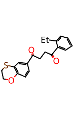 CCc1ccccc1C(=O)CCC(=O)c1ccc2c(c1)SCCO2